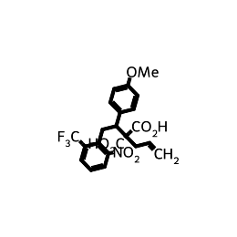 C=CCC(C(=O)O)(C(=O)O)C(Cc1c([N+](=O)[O-])cccc1C(F)(F)F)c1ccc(OC)cc1